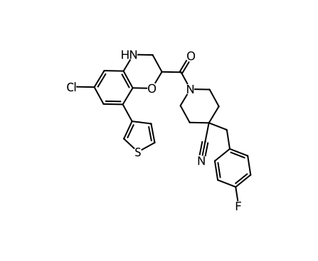 N#CC1(Cc2ccc(F)cc2)CCN(C(=O)C2CNc3cc(Cl)cc(-c4ccsc4)c3O2)CC1